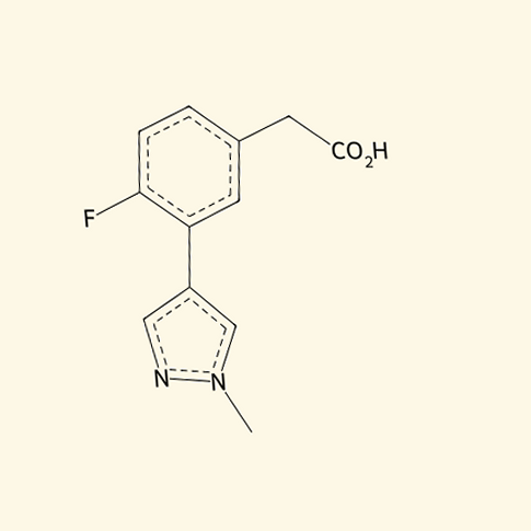 Cn1cc(-c2cc(CC(=O)O)ccc2F)cn1